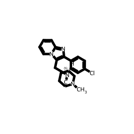 CN1C[C@@H]2CCC1CN2Cc1c(-c2ccc(Cl)cc2)nc2ccccn12